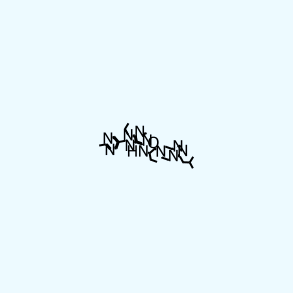 CCC(Nc1ncnc2c1nc(-c1cnc(C)nc1)n2CC)C(=O)N1CCn2c(CC(C)C)nnc2C1